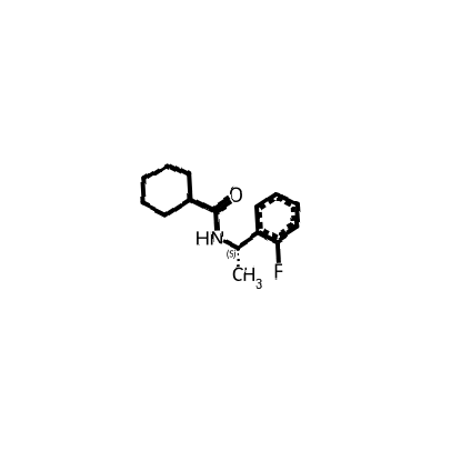 C[C@H](NC(=O)C1CCCCC1)c1ccccc1F